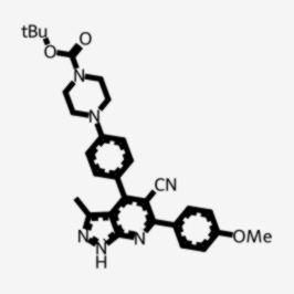 COc1ccc(-c2nc3[nH]nc(C)c3c(-c3ccc(N4CCN(C(=O)OC(C)(C)C)CC4)cc3)c2C#N)cc1